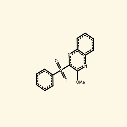 COc1nc2ccccc2nc1S(=O)(=O)c1ccccc1